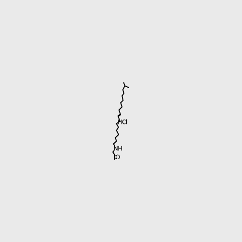 CC(C)CCCCCCCC=CCCCCCCCCNCC1CO1.Cl